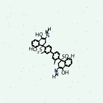 [H]/N=N/C1=C(O)c2ccccc2C(c2ccc(-c3ccc(C4(S(=O)(=O)O)CC(/N=N/[H])=C(O)c5ccccc54)c(C)c3)cc2C)(S(=O)(=O)O)C1